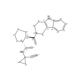 N#CC1(NC(=O)[C@@H]2CCCC[C@H]2C(=O)N2CCc3[nH]c4ccccc4c3C2)CC1